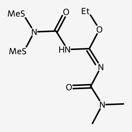 CCOC(=NC(=O)N(C)C)NC(=O)N(SC)SC